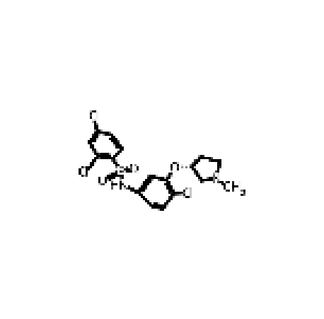 CN1CC[C@@H](Oc2cc(NS(=O)(=O)c3ccc(Cl)cc3Cl)ccc2Cl)C1